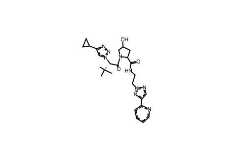 CC(C)(C)[C@@H](C(=O)N1CC(O)CC1C(=O)NCCn1ncc(-c2ccccn2)n1)n1cc(C2CC2)nn1